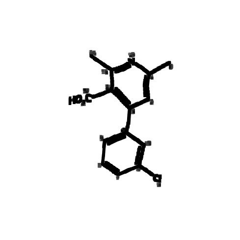 Cc1cc(-c2cccc(Cl)c2)c(C(=O)O)c(C)n1